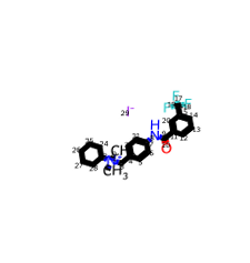 C[N+](C)(Cc1ccc(NC(=O)c2cccc(C(F)(F)F)c2)cc1)C1CCCCC1.[I-]